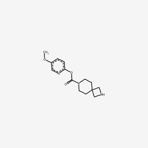 COc1ccc(OC(=O)N2CCC3(CC2)CNC3)nc1